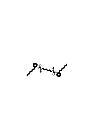 CCCCCCCc1ccccc1OC(=O)NCCCCCCNC(=O)Oc1ccccc1CCCCCCC